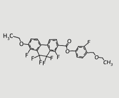 CCOCc1ccc(OC(=O)c2ccc3c(c2F)C(F)(F)C(F)(F)c2c-3ccc(OCC)c2F)cc1F